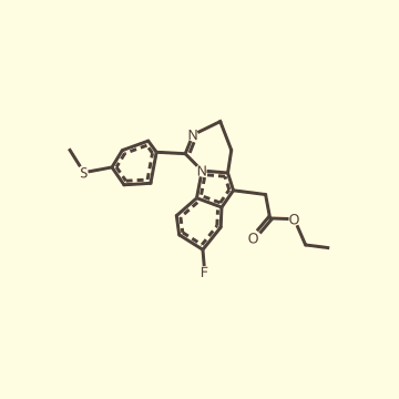 CCOC(=O)Cc1c2n(c3ccc(F)cc13)C(c1ccc(SC)cc1)=NCC2